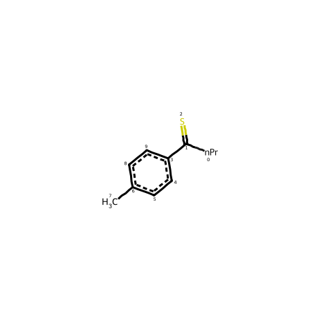 CCCC(=S)c1ccc(C)cc1